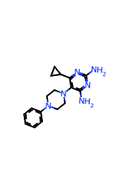 Nc1nc(N)c(N2CCN(c3ccccc3)CC2)c(C2CC2)n1